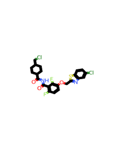 O=C(NC(=O)C1CCC(CCl)CC1)c1c(F)ccc(OCc2nc3cc(Cl)ccc3s2)c1F